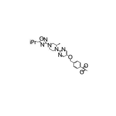 CC(C)c1nc(N2CCN(c3ncc(OCc4ccc(S(C)(=O)=O)cc4)cn3)[C@H](C)C2)no1